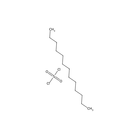 CCCCCCCCCCCCC.O=S(=O)(Cl)Cl